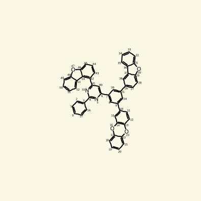 c1ccc(-c2nc(-c3cc(-c4ccc5c(c4)Oc4ccccc4O5)cc(-c4ccc5oc6ccccc6c5c4)c3)cc(-c3cccc4oc5ccccc5c34)n2)cc1